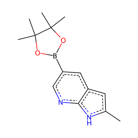 Cc1cc2cc(B3OC(C)(C)C(C)(C)O3)cnc2[nH]1